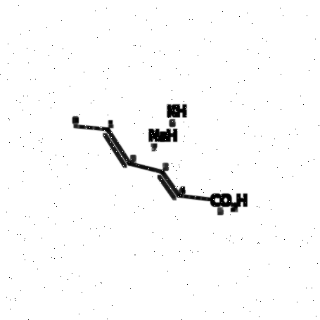 C/C=C/C=C/C(=O)O.[KH].[NaH]